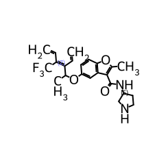 C=C/C(=C(\C=C)C(F)(F)F)C(C)Oc1ccc2oc(C)c(C(=O)N[C@H]3CCNC3)c2c1